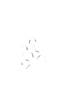 CCNc1cc(-c2c(C)cccc2Cl)c2nc(N)c3cncn3c2c1